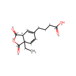 CCC12C=CC(CCCC(=O)O)=CC1C(=O)OC2=O